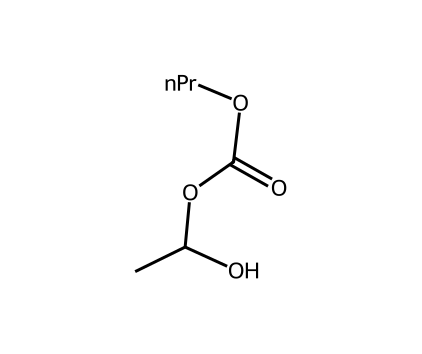 CCCOC(=O)OC(C)O